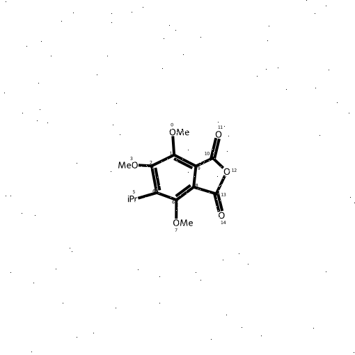 COc1c(OC)c(C(C)C)c(OC)c2c1C(=O)OC2=O